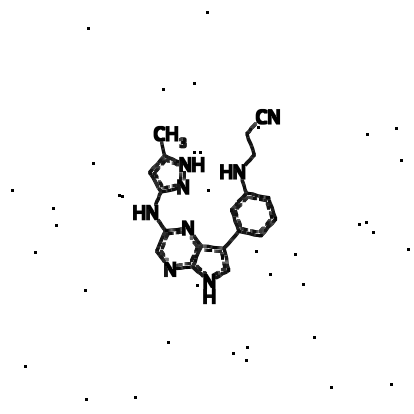 Cc1cc(Nc2cnc3[nH]cc(-c4cccc(NCCC#N)c4)c3n2)n[nH]1